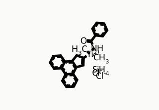 [CH3][Ti+2]([CH3])([NH]C(=O)c1ccccc1)[C]1=Cc2c(c3ccccc3c3ccccc23)C1.[Cl-].[Cl-].[SiH4]